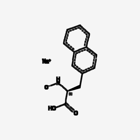 O=C(O)[C@H](Cc1ccc2ccccc2c1)N[O-].[Na+]